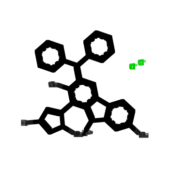 CCC1=CC(C(C)(C)C)C(c2c(C(C)(C)C)c(=C(c3ccccc3)c3ccccc3)cc3c2=[C]([Zr+2])c2cc(C(C)(C)C)ccc2-3)=C1.[Cl-].[Cl-]